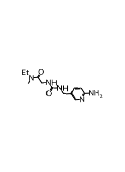 CCN(C)C(=O)CNC(=O)NCc1ccc(N)nc1